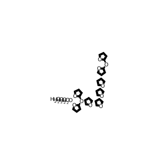 O.O.O.O.O.c1ccoc1.c1ccoc1.c1ccoc1.c1ccoc1.c1coc(Oc2ccco2)c1.c1coc(Oc2ccco2)c1